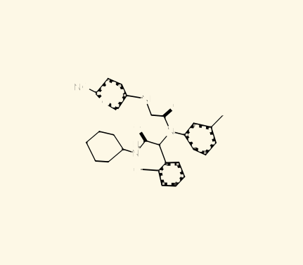 N#Cc1ccc(NCC(=O)N(c2cccc(F)c2)C(C(=O)NC2CCCCC2)c2ccccc2Cl)cc1